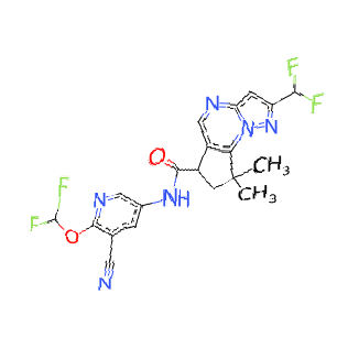 CC1(C)CC(C(=O)Nc2cnc(OC(F)F)c(C#N)c2)c2cnc3cc(C(F)F)nn3c21